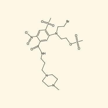 CN1CCN(CCCNC(=O)c2cc(N(CCBr)CCOS(C)(=O)=O)c(S(C)(=O)=O)cc2[N+](=O)[O-])CC1